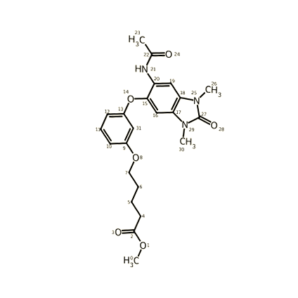 COC(=O)CCCCOc1cccc(Oc2cc3c(cc2NC(C)=O)n(C)c(=O)n3C)c1